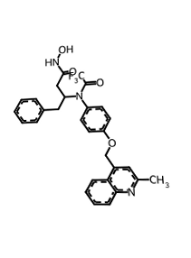 Cc1cc(COc2ccc(N(C(=O)C(F)(F)F)C(CC(=O)NO)Cc3ccccc3)cc2)c2ccccc2n1